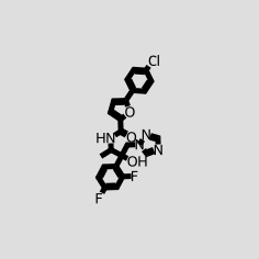 CC(NC(=O)c1ccc(-c2ccc(Cl)cc2)o1)C(O)(Cn1cncn1)c1ccc(F)cc1F